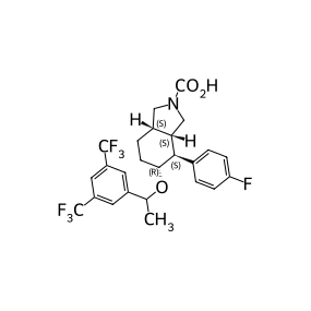 CC(O[C@@H]1CC[C@@H]2CN(C(=O)O)C[C@@H]2[C@H]1c1ccc(F)cc1)c1cc(C(F)(F)F)cc(C(F)(F)F)c1